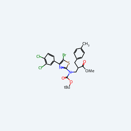 COC(=O)C(Cc1ccc(C)cc1)CN(C(=O)OC(C)(C)C)c1nc(-c2ccc(Cl)c(Cl)c2)c(Br)s1